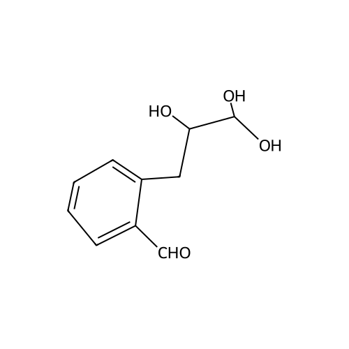 O=Cc1ccccc1CC(O)C(O)O